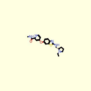 CCN1CCC[C@H]1CNc1nc2ccc(Oc3ccnc(C(=O)NC)c3)cc2s1